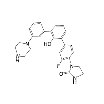 O=C1NCCN1c1ccc(-c2cccc(-c3cccc(N4CCNCC4)c3)c2O)cc1F